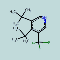 CC(C)(C)c1cncc(C(F)(F)F)c1C(C)(C)C